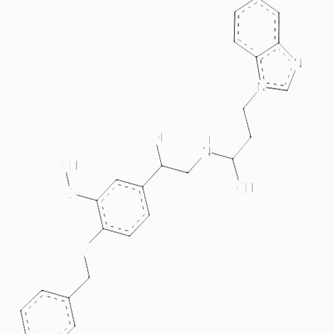 COc1cc(C(O)CNC(C)CCn2cnc3ccccc32)ccc1OCc1ccccc1